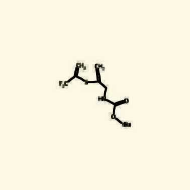 C=C(CNC(=O)OC(C)(C)C)SC(=C)C(F)(F)F